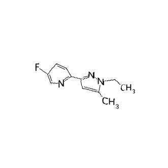 CCn1nc(-c2ccc(F)cn2)cc1C